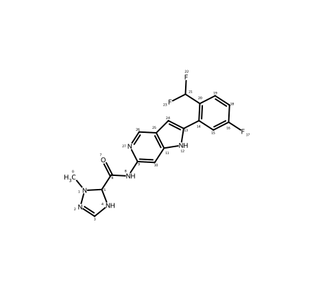 CN1N=CNC1C(=O)Nc1cc2[nH]c(-c3cc(F)ccc3C(F)F)cc2cn1